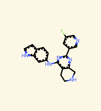 Fc1cncc(-c2nc3c(c(Nc4ccc5cc[nH]c5c4)n2)CCNC3)c1